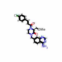 COC[C@H]1C(=O)N(Cc2ccc3c(N)ncnc3c2)CCN1C(=O)C=Cc1ccc(Cl)cc1